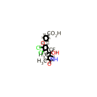 Cc1cc(C(O)(C(C)c2ccc(Oc3ccc(C(=O)O)cc3)c(Cl)c2Cl)C(F)(F)F)c[nH]c1=O